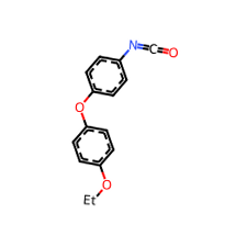 CCOc1ccc(Oc2ccc(N=C=O)cc2)cc1